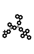 CC1(C)c2ccccc2-c2ccc(-n3c4ccccc4c4cc(N(c5ccc(-c6cccc7ccccc67)cc5)c5ccc(-c6c7ccccc7c(-c7ccccc7)c7ccccc67)cc5)ccc43)cc21